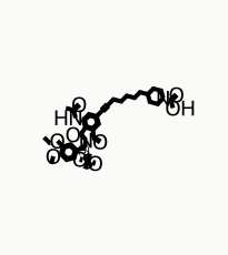 CCOc1cc([C@@H](CS(C)(=O)=O)N2C(=O)c3cc(C#CCCCCCC4CCN(C(=O)O)CC4)cc(NC(C)=O)c3C2=O)ccc1OC